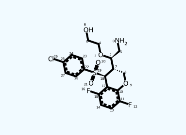 NC[C@H](OCCO)[C@@H]1COc2c(F)ccc(F)c2[C@H]1S(=O)(=O)c1ccc(Cl)cc1